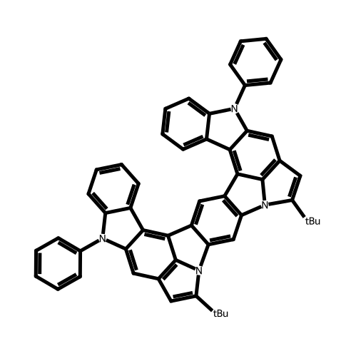 CC(C)(C)c1cc2cc3c(c4ccccc4n3-c3ccccc3)c3c4cc5c6c7c8ccccc8n(-c8ccccc8)c7cc7cc(C(C)(C)C)n(c5cc4n1c23)c76